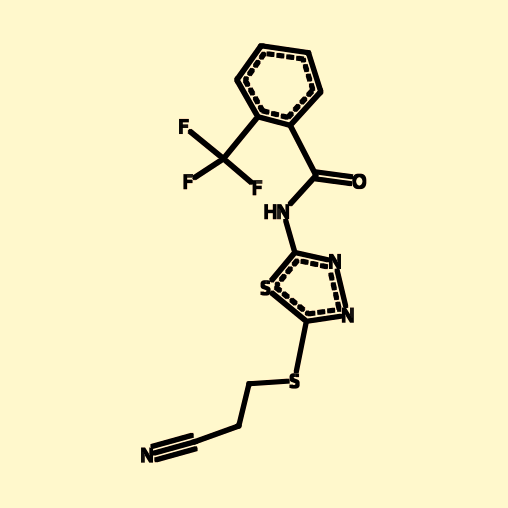 N#CCCSc1nnc(NC(=O)c2ccccc2C(F)(F)F)s1